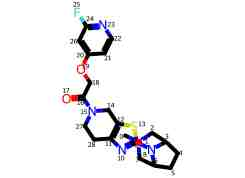 CN1CC2CCC(C1)N2c1nc2c(s1)CN(C(=O)COc1ccnc(F)c1)CC2